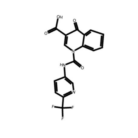 O=C(O)c1cn(C(=O)Nc2ccc(C(F)(F)F)nc2)c2ccccc2c1=O